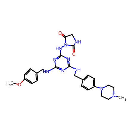 COc1ccc(CNc2nc(NCc3ccc(N4CCN(C)CC4)cc3)nc(NN3C(=O)CNC3=O)n2)cc1